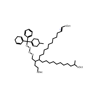 CCCCCCCC/C=C/CCCCCCCCCC(CCCCCCCCCC(C)CCCCCCCC)C(CCCCCCCCCCCC)COOOOC(C1=CCCC=C1)(C1=CCC(C)CC1)c1ccccc1